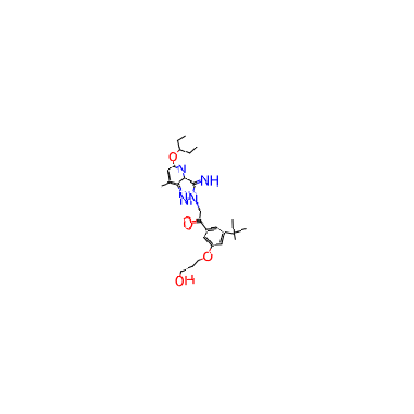 CCC(CC)OC1=NC2C(=N)N(CC(=O)c3cc(OCCCO)cc(C(C)(C)C)c3)N=C2C(C)=C1